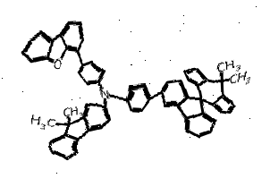 CC1(C)c2ccccc2-c2ccc(N(c3ccc(-c4ccc5c(c4)-c4ccccc4C54c5ccccc5C(C)(C)c5ccccc54)cc3)c3ccc(-c4cccc5c4oc4ccccc45)cc3)cc21